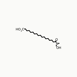 CN(CO)C(=O)CCCCCCCCCCCCCCCCC(=O)O